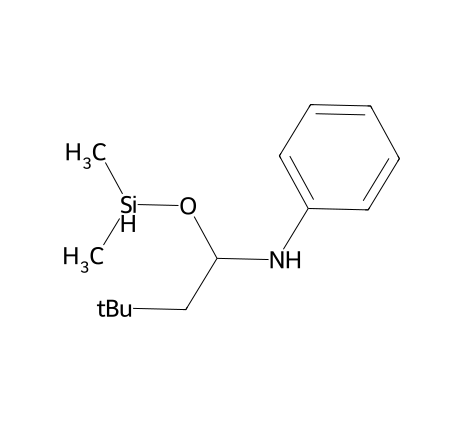 C[SiH](C)OC(CC(C)(C)C)Nc1ccccc1